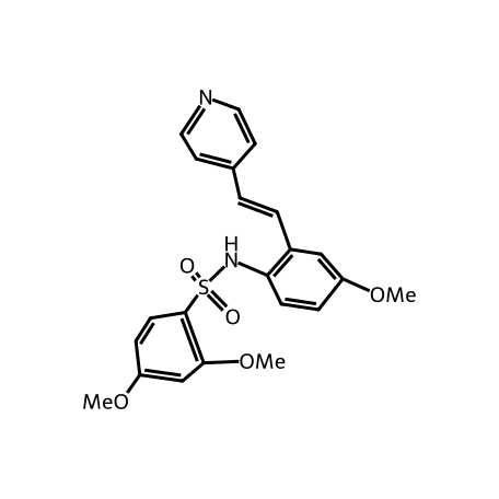 COc1ccc(NS(=O)(=O)c2ccc(OC)cc2OC)c(/C=C/c2ccncc2)c1